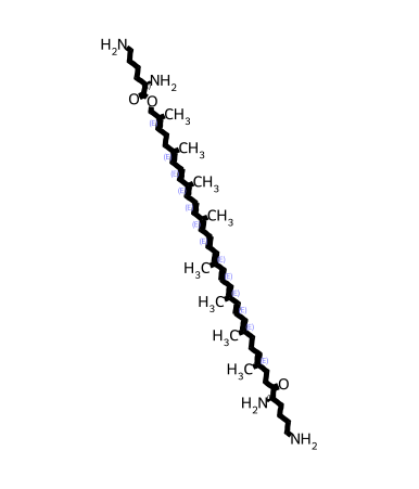 CC(/C=C/C=C(C)/C=C/C=C(\C)CC/C=C(\C)CCC(=O)[C@H](N)CCCCN)=C\C=C\C=C(C)\C=C\C=C(C)\C=C\C=C(/C)CC/C=C(\C)COC(=O)[C@H](N)CCCCN